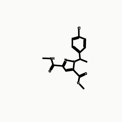 CNC(=O)c1cc(C(=O)OC)n(C(C)c2ccc(Cl)cc2)n1